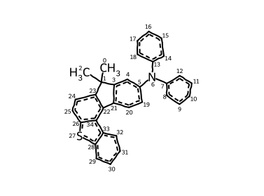 CC1(C)c2cc(N(c3ccccc3)c3ccccc3)ccc2-c2c1ccc1sc3ccccc3c21